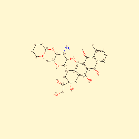 Cc1cccc2c1C(=O)c1c(O)c3c(c(O)c1C2=O)C[C@@](O)(C(=O)CO)C[C@@H]3C1CC(N)C(O[C@@H]2CCCCO2)C(C)O1